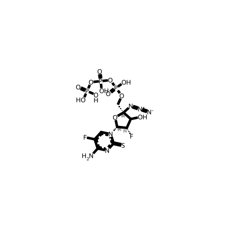 [N-]=[N+]=N[C@]1(COP(=O)(O)OP(=O)(O)OP(=O)(O)O)O[C@@H](n2cc(F)c(N)nc2=S)[C@@H](F)C1O